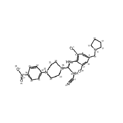 N#CNC(Nc1c(Cl)cc(CN2CCCC2)cc1Cl)N1CCN(c2ccc([N+](=O)[O-])cc2)CC1